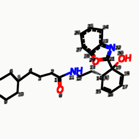 O=C(CCCC1CCCCC1)NCC[C@H]1C=CC=CC1(O)c1nc2ccccc2o1